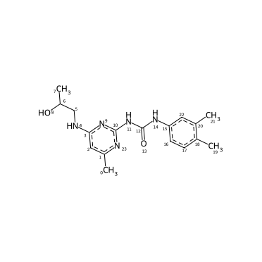 Cc1cc(NCC(C)O)nc(NC(=O)Nc2ccc(C)c(C)c2)n1